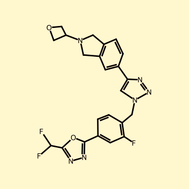 Fc1cc(-c2nnc(C(F)F)o2)ccc1Cn1cc(-c2ccc3c(c2)CN(C2COC2)C3)nn1